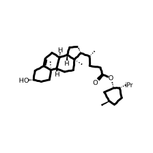 CC(C)[C@@H]1CC[C@@H](C)C[C@@H]1OC(=O)CC[C@@H](C)[C@H]1CC[C@H]2[C@@H]3CC=C4C[C@@H](O)CC[C@]4(C)[C@H]3CC[C@]12C